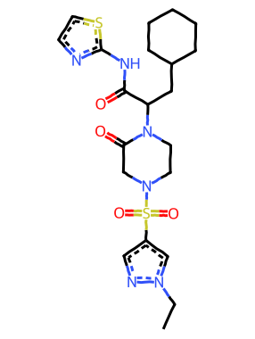 CCn1cc(S(=O)(=O)N2CCN(C(CC3CCCCC3)C(=O)Nc3nccs3)C(=O)C2)cn1